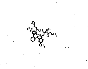 C=C(/C=C(/C)n1nc(C2CCCCN2C(=C)c2cc(C)ccc2CCCN(CCC)C(=O)CN)cc1C)N1CCC1